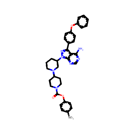 Nc1ncnc2c1c(-c1ccc(Oc3ccccc3)cc1)nn2C1CCCN(C2CCN(C(=O)Oc3ccc([N+](=O)[O-])cc3)CC2)C1